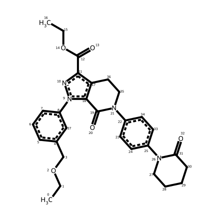 CCOCc1cccc(-n2nc(C(=O)OCC)c3c2C(=O)N(c2ccc(N4CCCCC4=O)cc2)CC3)c1